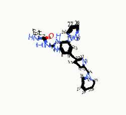 CCNC(=O)Nc1nc2cc(-c3ccc(CN4CCCCC4)nc3)cc(-n3cccn3)c2[nH]1